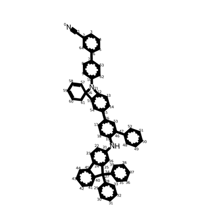 N#Cc1cccc(-c2ccc(N3c4ccc(-c5ccc(Nc6ccc7c(c6)C(c6ccccc6)(c6ccccc6)c6ccccc6-7)c(-c6ccccc6)c5)cc4C34C=CC=CC4)cc2)c1